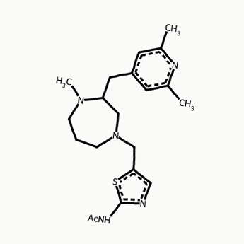 CC(=O)Nc1ncc(CN2CCCN(C)C(Cc3cc(C)nc(C)c3)C2)s1